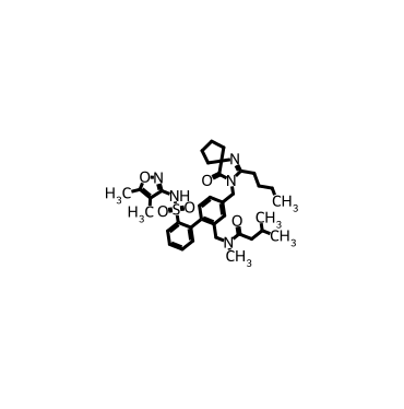 CCCCC1=NC2(CCCC2)C(=O)N1Cc1ccc(-c2ccccc2S(=O)(=O)Nc2noc(C)c2C)c(CN(C)C(=O)CC(C)C)c1